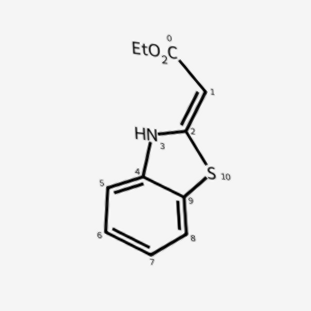 CCOC(=O)/C=C1\Nc2ccccc2S1